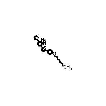 CCCCCCCCOc1ccc(-c2ccc(-c3ccc(-c4cccs4)c4nsnc34)s2)cc1